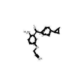 C#CCOc1ccc(N)c(C(=O)c2ccc(C3CC3)cc2)c1